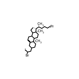 CC(C)CCC[C@@H](C)[C@H]1CCC2C3CC=C4CC(CC(Br)I)CC[C@]4(C)C3CC[C@@]21C